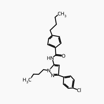 CCCCc1ccc(C(=O)Nc2cc(-c3ccc(Cl)cc3)nn2CCCC)cc1